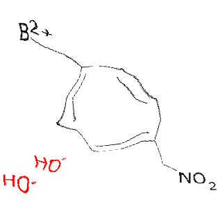 [B+2]c1ccc([N+](=O)[O-])cc1.[OH-].[OH-]